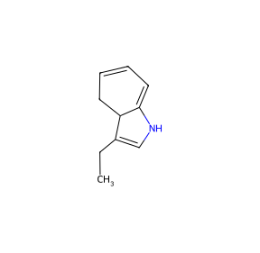 CCC1=CNC2=CC=CCC12